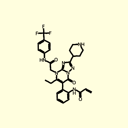 C=CC(=O)Nc1ccccc1-c1c(CC)n(CC(=O)Nc2ccc(C(F)(F)F)cc2)c2nc(C3CCNCC3)nn2c1=O